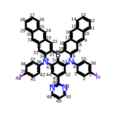 Ic1ccc(N2c3cc4cc5ccccc5cc4cc3B3c4cc5cc6ccccc6cc5cc4N(c4ccc(I)cc4)c4cc(-c5ncccn5)cc2c43)cc1